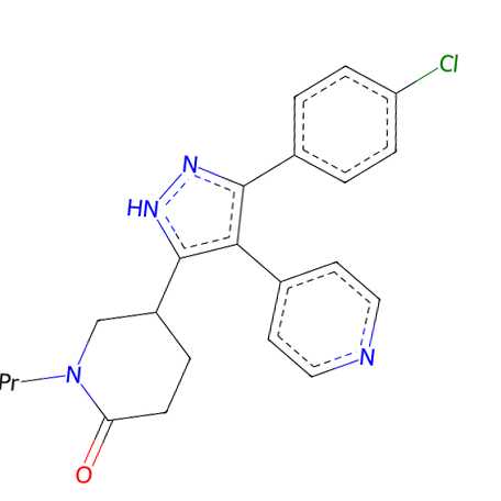 CC(C)N1CC(c2[nH]nc(-c3ccc(Cl)cc3)c2-c2ccncc2)CCC1=O